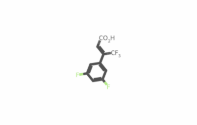 O=C(O)C=C(c1cc(F)cc(F)c1)C(F)(F)F